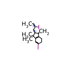 C=C1C2=C(C=C(I)CC2)C(C)(C)/C1=C/C(I)=C\C